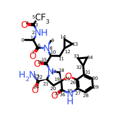 CC(NC(=O)C(F)(F)F)C(=O)N(C)C(CC1CC1)C(=O)N1C[C@@]2(C[C@H]1C(N)=O)Oc1c(cccc1C1CC1)NC2=O